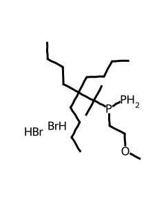 Br.Br.CCCCC(CCCC)(CCCC)C(C)(C)P(P)CCOC